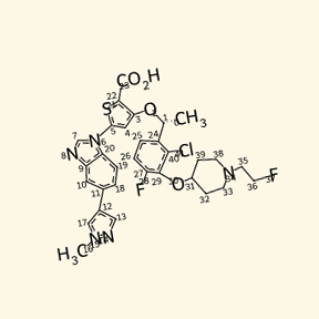 C[C@@H](Oc1cc(-n2cnc3cc(-c4cnn(C)c4)ccc32)sc1C(=O)O)c1ccc(F)c(OC2CCN(CCF)CC2)c1Cl